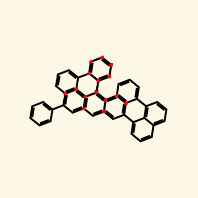 c1ccc(-c2ccc(N(c3ccc(-c4cccc5cccc(-c6ccccc6)c45)cc3)c3ccccc3-c3ccccc3-c3ccccc3-c3ccccc3)cc2)cc1